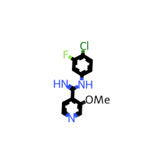 COc1cnccc1C(=N)Nc1ccc(Cl)c(F)c1